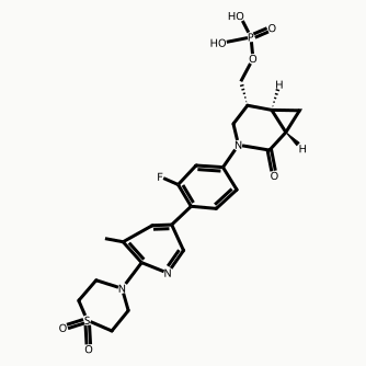 Cc1cc(-c2ccc(N3C[C@H](COP(=O)(O)O)[C@H]4C[C@@H]4C3=O)cc2F)cnc1N1CCS(=O)(=O)CC1